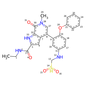 CCNC(=O)c1cc2c(-c3cc(NC[SH](=O)=O)ccc3Oc3ccccc3)cn(C)c(=O)c2[nH]1